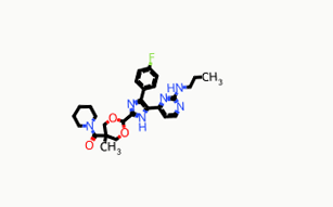 CCCNc1nccc(-c2[nH]c(C3OCC(C)(C(=O)N4CCCCC4)CO3)nc2-c2ccc(F)cc2)n1